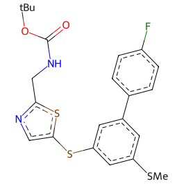 CSc1cc(Sc2cnc(CNC(=O)OC(C)(C)C)s2)cc(-c2ccc(F)cc2)c1